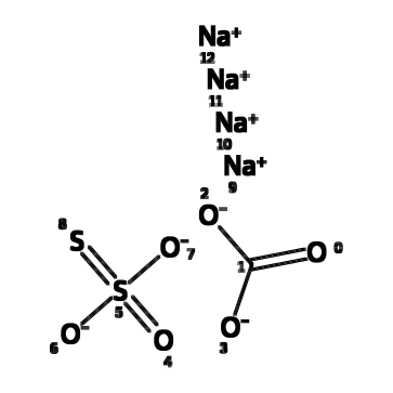 O=C([O-])[O-].O=S([O-])([O-])=S.[Na+].[Na+].[Na+].[Na+]